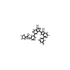 O=C(Nc1cncc(-c2cc3c(-c4cc5c(-c6cccc(F)c6)nccc5[nH]4)n[nH]c3cn2)c1)C1CCCC1